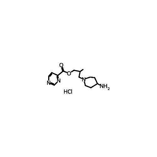 CC(COC(=O)c1ccncn1)CN1CCC(N)CC1.Cl